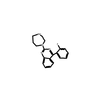 Fc1ccccc1-c1nc(N2CCCNCC2)nc2ccccc12